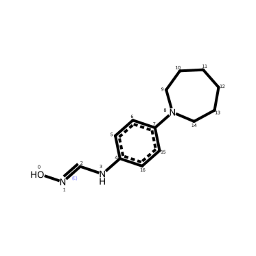 O/N=C/Nc1ccc(N2CCCCCC2)cc1